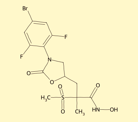 CC(CC1CN(c2c(F)cc(Br)cc2F)C(=O)O1)(C(=O)NO)S(C)(=O)=O